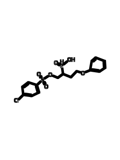 O=[PH](O)C(CCOc1ccccc1)COS(=O)(=O)c1ccc(Cl)cc1